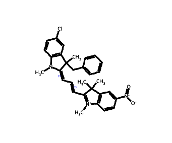 CN1/C(=C/C=C/C2=[N+](C)c3ccc([N+](=O)[O-])cc3C2(C)C)C(C)(Cc2ccccc2)c2cc(Cl)ccc21